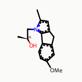 COc1ccc2c(c1)Cc1cc(C)n(C[C@H](C)O)c1-2